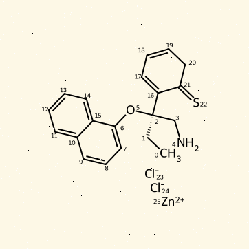 CC[C@](CN)(Oc1cccc2ccccc12)C1=CC=CCC1=S.[Cl-].[Cl-].[Zn+2]